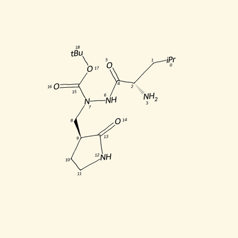 CC(C)C[C@H](N)C(=O)NN(C[C@@H]1CCNC1=O)C(=O)OC(C)(C)C